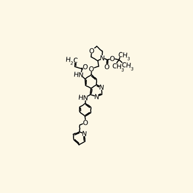 C=CC(=O)Nc1cc2c(Nc3ccc(OCc4ccccn4)cc3)ncnc2cc1OCC1COCCN1C(=O)OC(C)(C)C